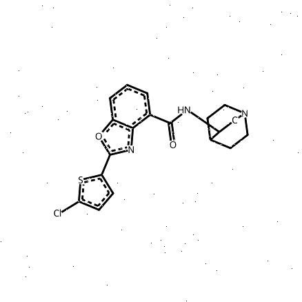 O=C(NC1CN2CCC1CC2)c1cccc2oc(-c3ccc(Cl)s3)nc12